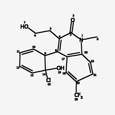 Cn1c(=O)c(CCO)c(C2C=CC=CC2(O)Cl)c2cc(C(F)(F)F)ccc21